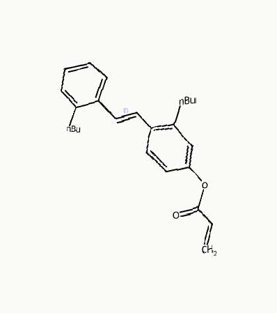 C=CC(=O)Oc1ccc(/C=C/c2ccccc2CCCC)c(CCCC)c1